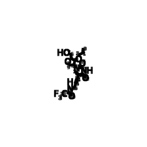 C=CCOC1C(CO)OCC1n1cc(C#CCNC(=O)C(F)(F)F)c(=O)[nH]c1=O